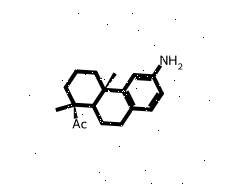 CC(=O)[C@@]1(C)CCC[C@]2(C)c3cc(N)ccc3CCC12